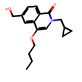 CCCCOc1[c]n(CC2CC2)c(=O)c2ccc(CO)cc12